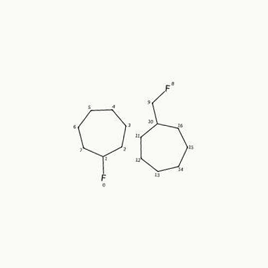 FC1CCCCCC1.FCC1CCCCCC1